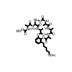 CCCCCCCCCCCCCCCc1cccc(OC(=O)C(C)NC(=O)C(C)NC(=O)C(C)NC(=O)OC(C)(C)C)c1OC(=O)C(C)NC(=O)C(C)NC(=O)C(C)NC(=O)OC(C)(C)C